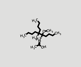 CC(=O)O.CCCCC(C)(CCCC)C(P)(CCCC)OC